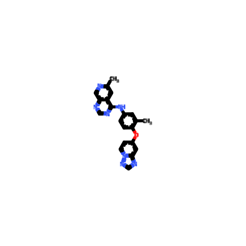 Cc1cc2c(Nc3ccc(Oc4ccn5ncnc5c4)c(C)c3)ncnc2cn1